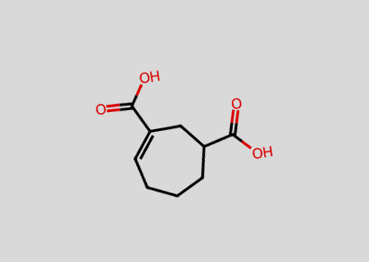 O=C(O)C1=CCCCC(C(=O)O)C1